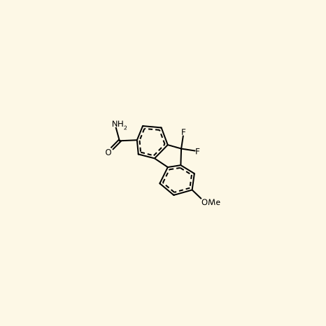 COc1ccc2c(c1)C(F)(F)c1ccc(C(N)=O)cc1-2